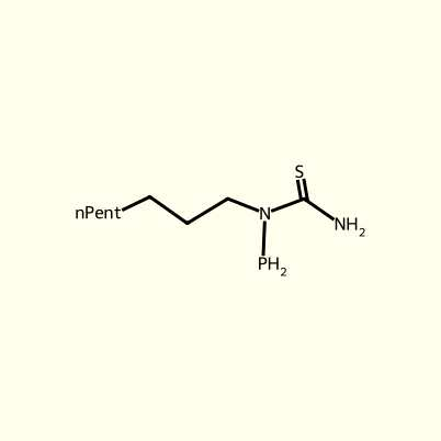 CCCCCCCCN(P)C(N)=S